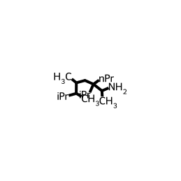 CCCC(CC(C)C(C)C(C)C)(C(C)C)C(C)N